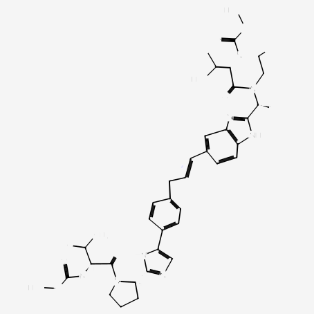 CCCN(C(=O)[C@@H](NC(=O)OC)C(C)C)[C@@H](C)c1nc2cc(/C=C/Cc3ccc(-c4cnc([C@@H]5CCCN5C(=O)[C@@H](NC(=O)OC)C(C)C)[nH]4)cc3)ccc2[nH]1